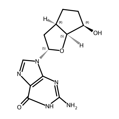 Nc1nc2c(ncn2[C@@H]2C[C@H]3CC[C@@H](O)[C@H]3O2)c(=O)[nH]1